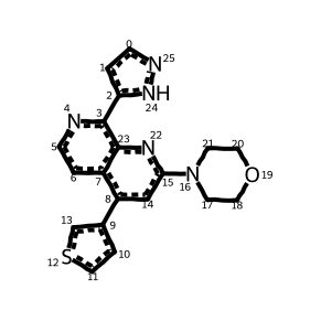 c1cc(-c2nccc3c(-c4ccsc4)cc(N4CCOCC4)nc23)[nH]n1